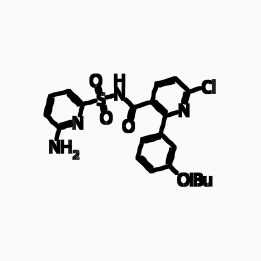 CC(C)COc1cccc(-c2nc(Cl)ccc2C(=O)NS(=O)(=O)c2cccc(N)n2)c1